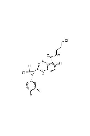 O=C(NCCCCl)c1c(Cl)ccc(NC(=O)[C@H]2[C@H](c3ccc(F)c(Cl)c3)C2(Cl)Cl)c1F